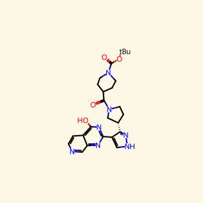 CC(C)(C)OC(=O)N1CCC(C(=O)N2CC[C@H](c3n[nH]cc3-c3nc(O)c4ccncc4n3)C2)CC1